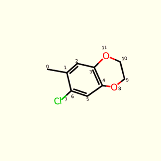 Cc1cc2c(cc1Cl)OCCO2